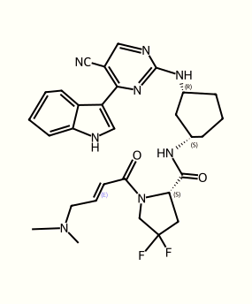 CN(C)C/C=C/C(=O)N1CC(F)(F)C[C@H]1C(=O)N[C@H]1CCC[C@@H](Nc2ncc(C#N)c(-c3c[nH]c4ccccc34)n2)C1